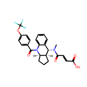 CN(C(=O)/C=C/C(=O)O)[C@H]1c2ccccc2N(C(=O)c2ccc(OC(F)(F)F)cc2)[C@@H]2CCC[C@@H]21